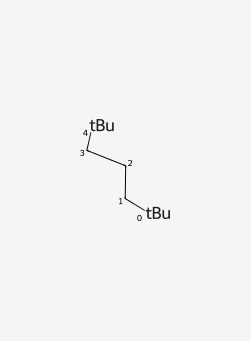 CC(C)(C)CCCC(C)(C)C